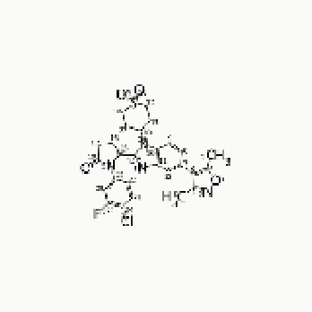 Cc1noc(C)c1-c1ccc2c(c1)nc([C@@H]1CCC(=O)N1c1ccc(Cl)c(F)c1)n2C1CCS(=O)(=O)CC1